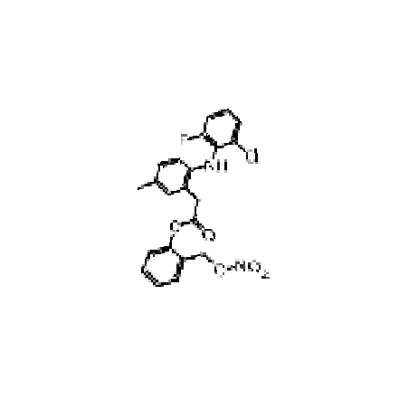 Cc1ccc(Nc2c(F)cccc2Cl)c(CC(=O)Oc2ccccc2CO[N+](=O)[O-])c1